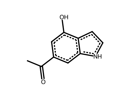 CC(=O)c1cc(O)c2cc[nH]c2c1